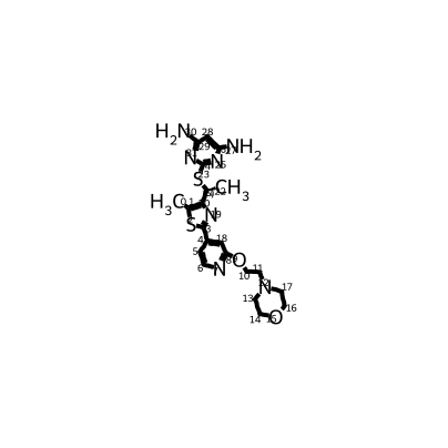 Cc1sc(-c2ccnc(OCCN3CCOCC3)c2)nc1[C@H](C)Sc1nc(N)cc(N)n1